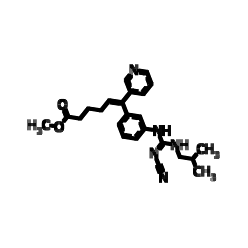 COC(=O)CCCC=C(c1cccnc1)c1cccc(NC(=NC#N)NCC(C)C)c1